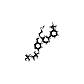 COCCN(Cc1ccc(SC(C)(C)C(=O)OC(C)(C)C)cc1)c1ccnc(-c2cccc(C(F)(F)F)c2)n1